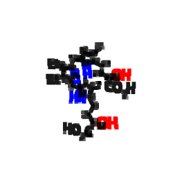 CCc1c(Cc2cc(C)c(CCC(O)C(=O)O)[nH]2)[nH]c(Cc2cc(C)c(CCC(O)C(=O)O)[nH]2)c1CC